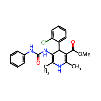 COC(=O)C1=C(C)NC(C)=C(NC(=O)Nc2ccccc2)C1c1ccccc1Cl